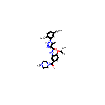 CCC[C@H](CC)Oc1ccc(C(=O)N2CCN(C(C)=O)CC2)cc1NC(=O)c1nnn(-c2cc(OC)ccc2OC)c1C